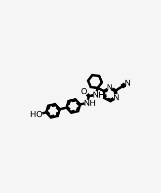 N#Cc1nccc(C2(NC(=O)Nc3ccc(-c4ccc(O)cc4)cc3)CCCCC2)n1